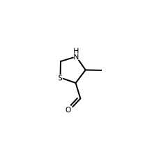 CC1NCSC1C=O